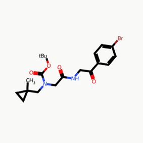 CC1(CN(CC(=O)NCC(=O)c2ccc(Br)cc2)C(=O)OC(C)(C)C)CC1